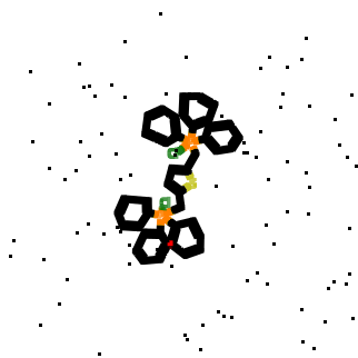 ClP(Cc1ccc(CP(Cl)(c2ccccc2)(c2ccccc2)c2ccccc2)s1)(c1ccccc1)(c1ccccc1)c1ccccc1